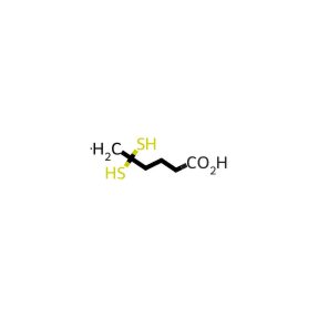 [CH2]C(S)(S)CCCC(=O)O